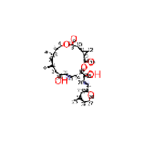 C=C1C[C@H](C)CCOC(=O)CC2CC2C(=O)O[C@H]([C@@H](O)/C=C/[C@@H]2CC(C)=CCO2)C/C=C/[C@@H](O)C1